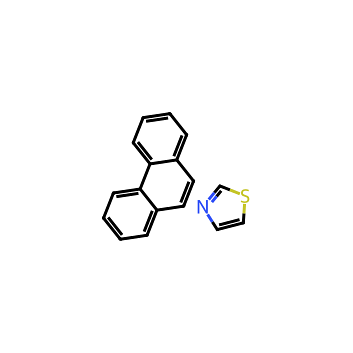 c1ccc2c(c1)ccc1ccccc12.c1cscn1